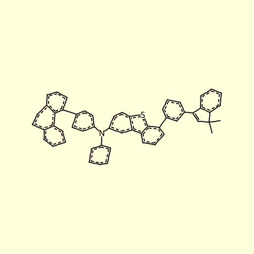 CC1(C)C=C(c2cccc(-c3cccc4c3sc3ccc(N(c5ccccc5)c5ccc(-c6cccc7ccc8ccccc8c67)cc5)cc34)c2)c2ccccc21